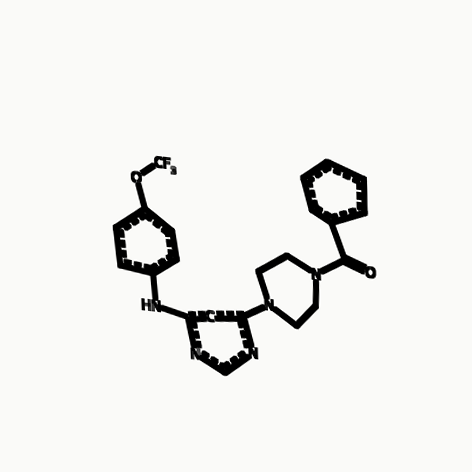 O=C(c1ccccc1)N1CCN(c2cc(Nc3ccc(OC(F)(F)F)cc3)ncn2)CC1